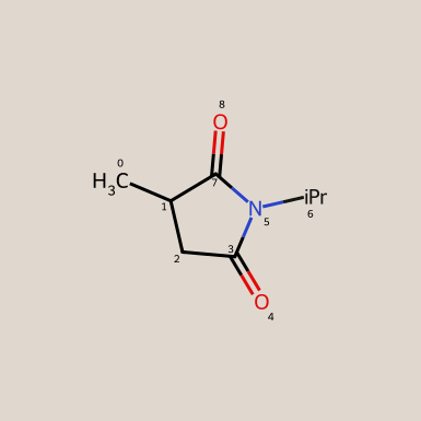 CC1CC(=O)N(C(C)C)C1=O